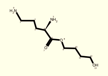 NCCC[C@@H](N)C(=O)OCCCCO